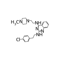 CN1CCN(CCNc2nc(NCCc3ccc(Cl)cc3)nc3ccccc23)CC1